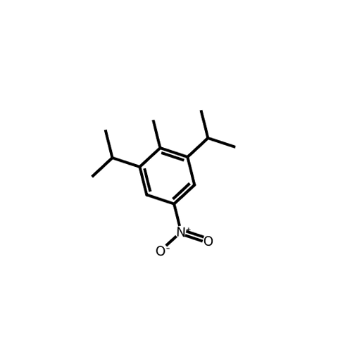 Cc1c(C(C)C)cc([N+](=O)[O-])cc1C(C)C